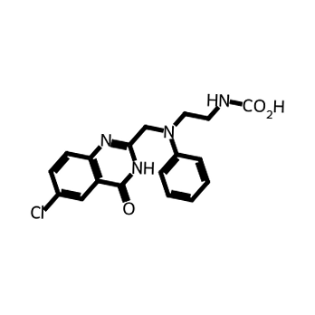 O=C(O)NCCN(Cc1nc2ccc(Cl)cc2c(=O)[nH]1)c1ccccc1